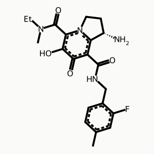 CCN(C)C(=O)c1c(O)c(=O)c(C(=O)NCc2ccc(C)cc2F)c2n1CC[C@@H]2N